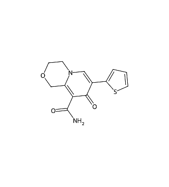 NC(=O)c1c2n(cc(-c3cccs3)c1=O)CCOC2